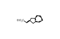 CCOC(=O)C=C1Cc2ccccc2C1